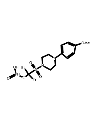 CCC(CC)(O[PH](=O)O)S(=O)(=O)N1CCN(c2ccc(OC)cc2)CC1